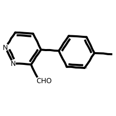 Cc1[c]cc(-c2ccnnc2C=O)cc1